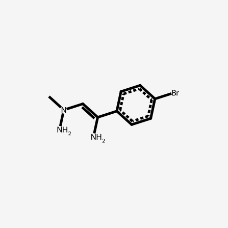 CN(N)/C=C(\N)c1ccc(Br)cc1